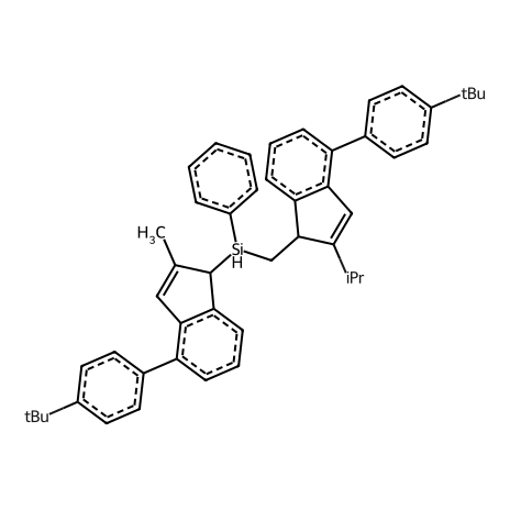 CC1=Cc2c(-c3ccc(C(C)(C)C)cc3)cccc2C1[SiH](CC1C(C(C)C)=Cc2c(-c3ccc(C(C)(C)C)cc3)cccc21)c1ccccc1